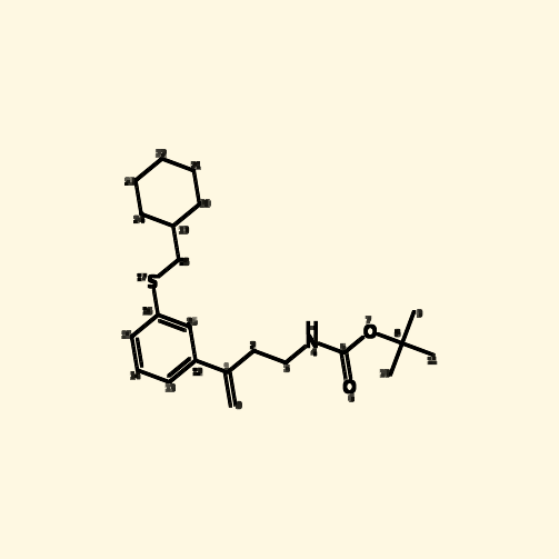 C=C(CCNC(=O)OC(C)(C)C)c1cccc(SCC2CCCCC2)c1